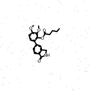 CCCCC(=O)Oc1c(-c2ccc3c(c2)CNC3=O)ccc(OC)c1OC